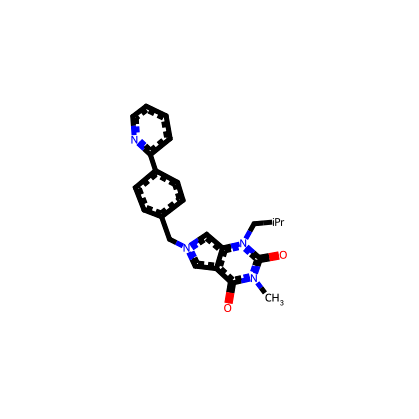 CC(C)Cn1c(=O)n(C)c(=O)c2cn(Cc3ccc(-c4ccccn4)cc3)cc21